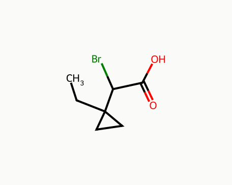 CCC1(C(Br)C(=O)O)CC1